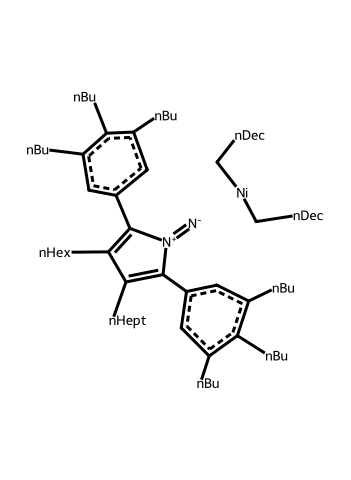 CCCCCCCC1=C(c2cc(CCCC)c(CCCC)c(CCCC)c2)[N+](=[N-])C(c2cc(CCCC)c(CCCC)c(CCCC)c2)=C1CCCCCC.CCCCCCCCCC[CH2][Ni][CH2]CCCCCCCCCC